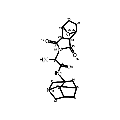 CC(C(=O)NC12CC3CC(CN(C3)C1)C2)N1C(=O)C2C3CCC(O3)C2C1=O